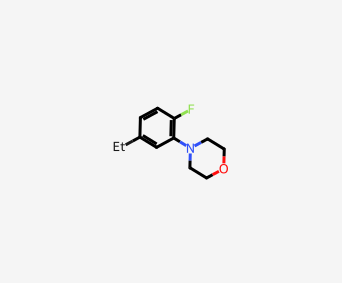 CCc1ccc(F)c(N2CCOCC2)c1